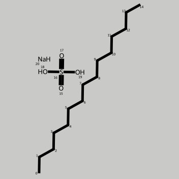 CCCCCCCCCCCCCCC.O=S(=O)(O)O.[NaH]